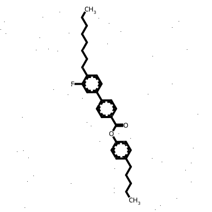 CCCCCCCCc1ccc(-c2ccc(C(=O)Oc3ccc(CCCCC)cc3)cc2)cc1F